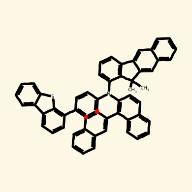 CC1(C)c2cc3ccccc3cc2-c2cccc(N(c3ccc(-c4cccc5c4sc4ccccc45)cc3)c3ccc4ccccc4c3-c3ccc4ccccc4c3)c21